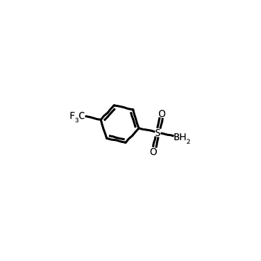 BS(=O)(=O)c1ccc(C(F)(F)F)cc1